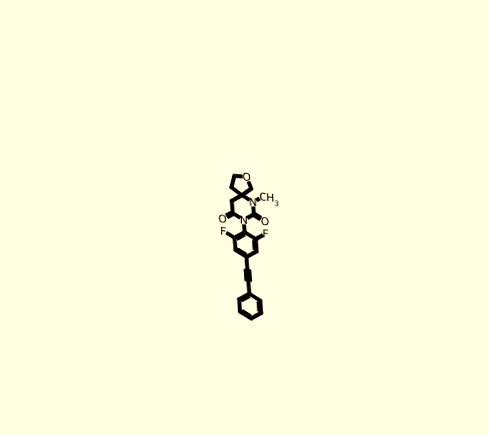 CN1C(=O)N(c2c(F)cc(C#Cc3ccccc3)cc2F)C(=O)CC12CCOC2